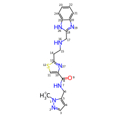 Cn1nccc1CNC(=O)c1csc(CCNCc2nc3ccccc3[nH]2)n1